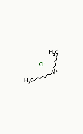 CCCCCCC[CH2][Al+][CH2]CCCCCCC.[Cl-]